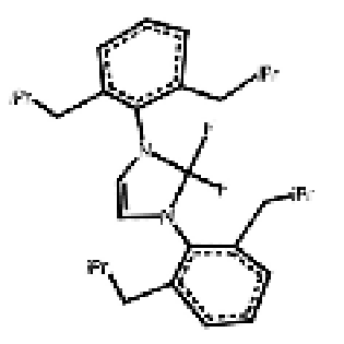 CC(C)Cc1cccc(CC(C)C)c1N1C=CN(c2c(CC(C)C)cccc2CC(C)C)C1(F)F